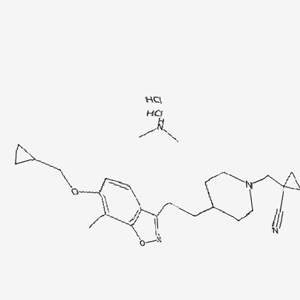 CNC.Cc1c(OCC2CC2)ccc2c(CCC3CCN(CC4(C#N)CC4)CC3)noc12.Cl.Cl